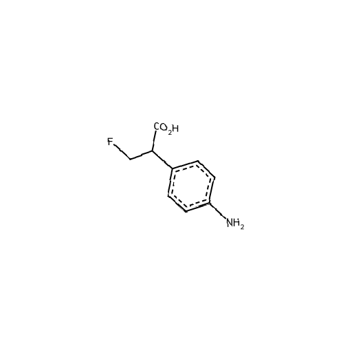 Nc1ccc(C(CF)C(=O)O)cc1